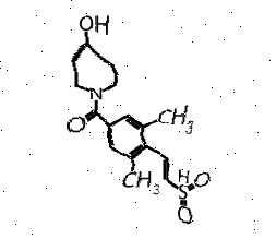 Cc1cc(C(=O)N2CCC(O)CC2)cc(C)c1/C=C/[SH](=O)=O